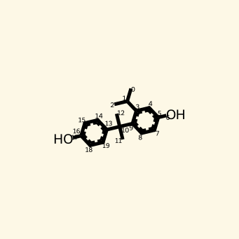 CC(C)c1cc(O)ccc1C(C)(C)c1ccc(O)cc1